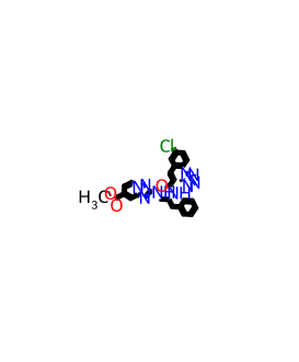 COC(=O)c1ccn2nc(NCC(Cc3ccccc3)NC(=O)C=Cc3cc(Cl)ccc3-n3cnnn3)nc2c1